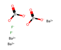 [Ba+2].[Ba+2].[Ba+2].[F-].[F-].[O]=[Zr]([O-])[O-].[O]=[Zr]([O-])[O-]